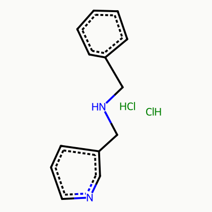 Cl.Cl.c1ccc(CNCc2cccnc2)cc1